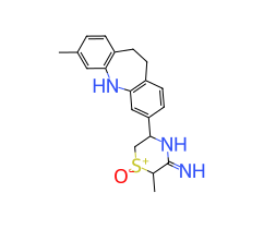 Cc1ccc2c(c1)Nc1cc(C3C[S+]([O-])C(C)C(=N)N3)ccc1CC2